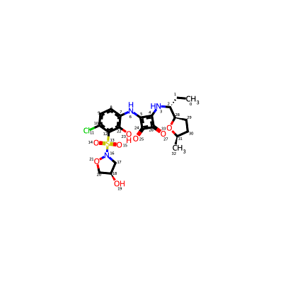 CC[C@@H](Nc1c(Nc2ccc(Cl)c(S(=O)(=O)N3C[C@@H](O)CO3)c2O)c(=O)c1=O)[C@H]1CC[C@@H](C)O1